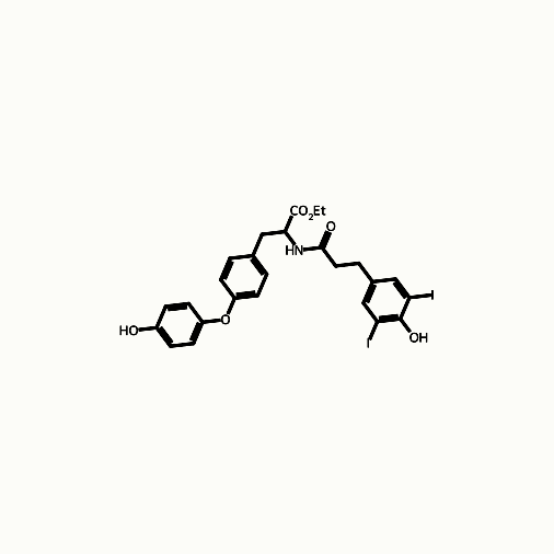 CCOC(=O)C(Cc1ccc(Oc2ccc(O)cc2)cc1)NC(=O)CCc1cc(I)c(O)c(I)c1